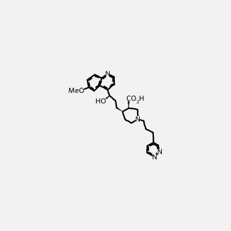 COc1ccc2nccc([C@H](O)CC[C@@H]3CCN(CCCc4ccnnc4)C[C@@H]3C(=O)O)c2c1